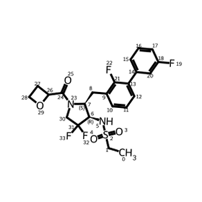 CCS(=O)(=O)N[C@@H]1[C@H](Cc2cccc(-c3cccc(F)c3)c2F)N(C(=O)C2CCO2)CC1(F)F